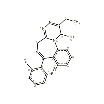 CCC1=NN=C2CN=C(c3c(F)cccc3F)c3c(Cl)cccc3N2C1O